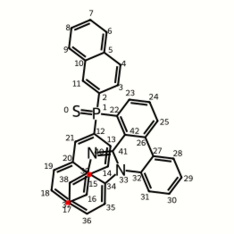 S=P(c1ccc2ccccc2c1)(c1ccc2ccccc2c1)c1cccc2c3ccccc3n3c4ccccc4nc3c12